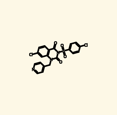 O=c1c2ccc(Cl)cc2n(Cc2ccncc2)c(=O)n1S(=O)(=O)c1ccc(Cl)cc1